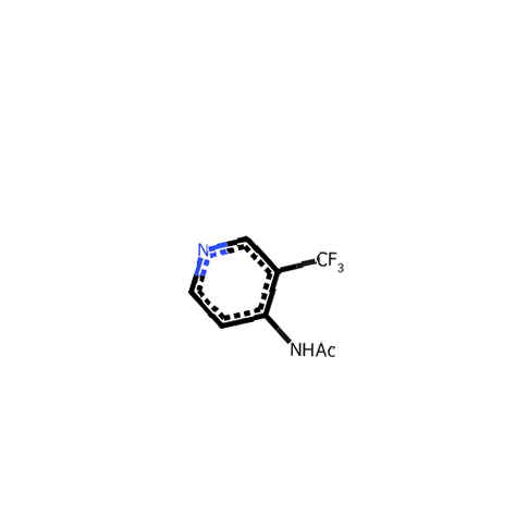 CC(=O)Nc1ccncc1C(F)(F)F